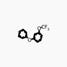 FC(F)(F)Oc1cccc(Oc2cc[c]cc2)c1